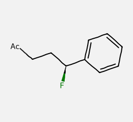 CC(=O)CC[C@H](F)c1ccccc1